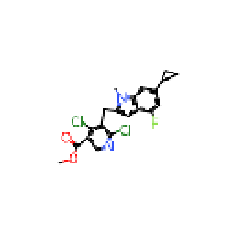 COC(=O)c1cnc(Cl)c(Cc2cc3c(F)cc(C4CC4)cc3n2C)c1Cl